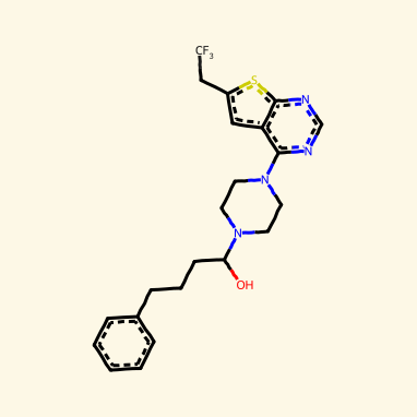 OC(CCCc1ccccc1)N1CCN(c2ncnc3sc(CC(F)(F)F)cc23)CC1